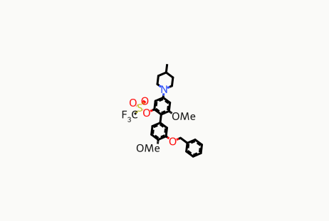 COc1ccc(-c2c(OC)cc(N3CCC(C)CC3)cc2OS(=O)(=O)C(F)(F)F)cc1OCc1ccccc1